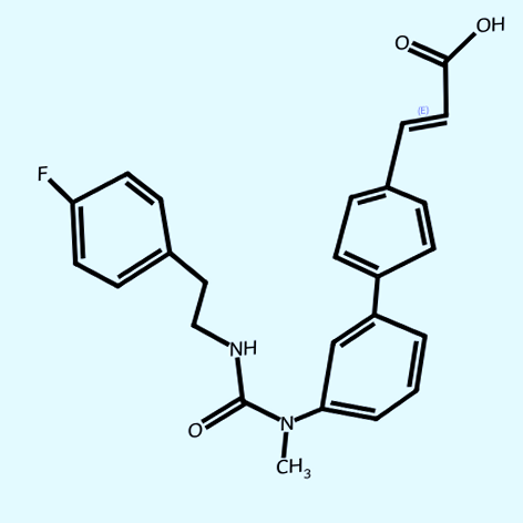 CN(C(=O)NCCc1ccc(F)cc1)c1cccc(-c2ccc(/C=C/C(=O)O)cc2)c1